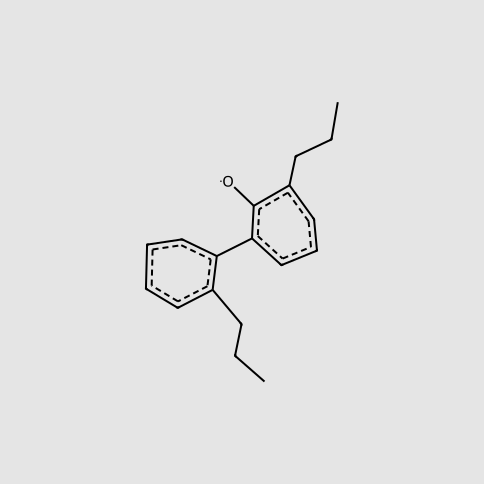 CCCc1ccccc1-c1cccc(CCC)c1[O]